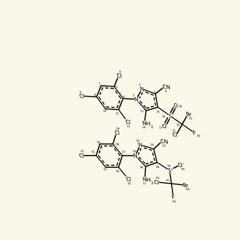 N#Cc1nn(-c2c(Cl)cc(Cl)cc2Cl)c(N)c1S(=O)(=O)C(F)(Cl)Br.N#Cc1nn(-c2c(Cl)cc(Cl)cc2Cl)c(N)c1[S+]([O-])C(F)(Cl)Br